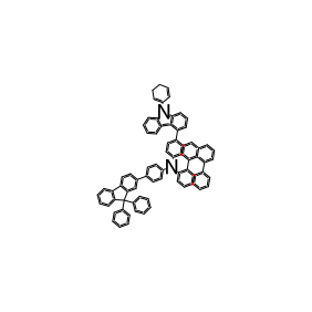 C1=CC(n2c3ccccc3c3c(-c4ccc(N(c5ccc(-c6ccc7c(c6)C(c6ccccc6)(c6ccccc6)c6ccccc6-7)cc5)c5ccccc5-c5cccc6cccc(-c7ccccc7)c56)cc4)cccc32)=CCC1